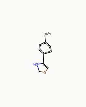 COc1ccc(C2=CS[C]N2)cc1